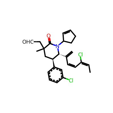 C=C(/C=C\C(Cl)=C/C)[C@@H]1[C@@H](c2cccc(Cl)c2)CC(C)(CC=O)C(=O)N1C1C=CCC1